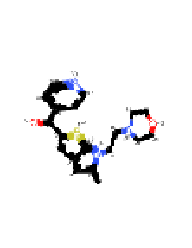 Cc1cc2cc(C(=O)c3ccncc3)sc2n1CCN1CCOCC1